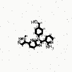 Cn1nncc1-c1ccc2nc(-c3cccnc3N)n(-c3ccc(CO)cc3)c2n1